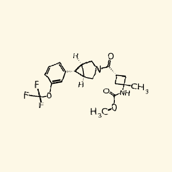 COC(=O)N[C@]1(C)C[C@H](C(=O)N2C[C@@H]3[C@H](C2)[C@H]3c2cccc(OC(F)(F)F)c2)C1